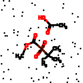 CC(=O)O.COC(=O)S(=O)(=O)C(C)(C)C